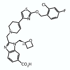 O=C(O)c1ccc2nc(CN3CC=C(c4csc(OCc5ccc(F)cc5Cl)n4)CC3)n(C[C@@H]3CCO3)c2c1